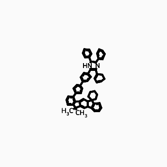 CC1(C)C2=CC3c4ccccc4C4(CCCCC4)C3C=C2c2c(-c3ccc(-c4ccc(C5=C(C6=CC=CCC6)N=C(c6ccccc6)C(c6ccccc6)N5)cc4)cc3)cccc21